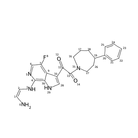 N/C=C\Nc1ncc(F)c2c(C(=O)C(=O)N3CCCC(c4ccccc4)CC3)c[nH]c12